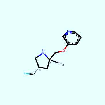 C[C@@]1(COc2cccnc2)C[C@H](CF)CN1